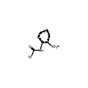 CCC(=O)Nc1ccccc1S(=O)(=O)O